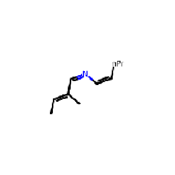 C/C=C(C)/C=N\C=C/CCC